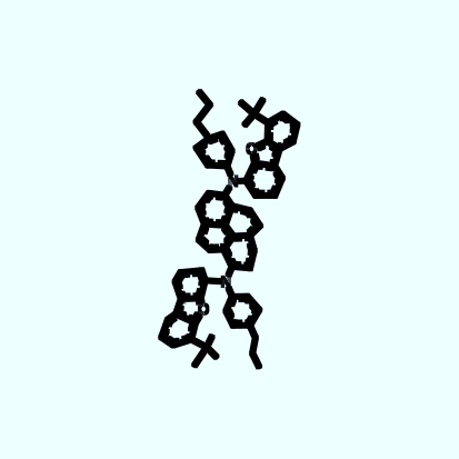 CCCc1ccc(N(c2ccc3ccc4c(N(c5ccc(CCC)cc5)c5cccc6c5oc5c(C(C)(C)C)cccc56)ccc5ccc2c3c54)c2cccc3c2oc2c(C(C)(C)C)cccc23)cc1